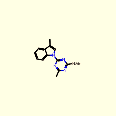 CNc1nc(C)nc(-n2cc(C)c3ccccc32)n1